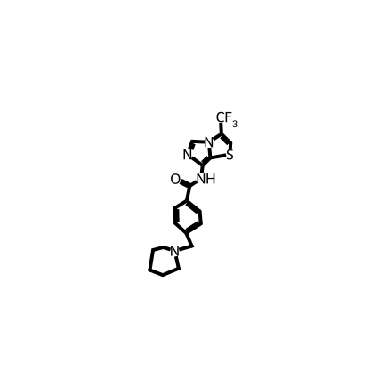 O=C(Nc1ncn2c(C(F)(F)F)csc12)c1ccc(CN2CCCCC2)cc1